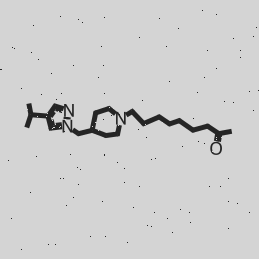 CC(=O)CCCCCCCN1CCC(Cn2cc(C(C)C)cn2)CC1